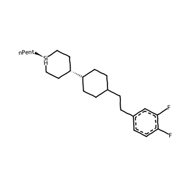 CCCCC[Si@H]1CC[C@H](C2CCC(CCc3ccc(F)c(F)c3)CC2)CC1